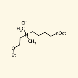 CCCCCCCCCCCC[N+](C)(C)CCOCC.[Cl-]